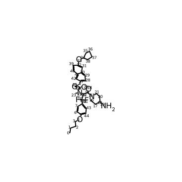 CCCCOc1ccc(C(F)(F)[C@H](C(=O)N2CCC(N)CC2)N(C)S(=O)(=O)c2ccc3cc(OC4CCCC4)ccc3c2)cc1